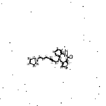 O=C1Nc2ccccc2N(CC#CCCCN2CCCCC2)c2cscc21